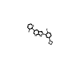 Cc1cccnc1-c1cnc2nn(-c3cc(N4CCC4)ccc3F)cc2c1